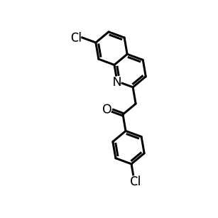 O=C(Cc1ccc2ccc(Cl)cc2n1)c1ccc(Cl)cc1